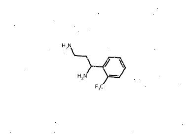 NCCC(N)c1ccccc1C(F)(F)F